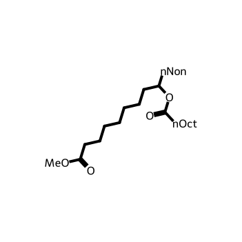 CCCCCCCCCC(CCCCCCCC(=O)OC)OC(=O)CCCCCCCC